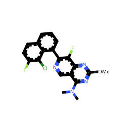 COc1nc(N(C)C)c2cnc(-c3cccc4ccc(F)c(Cl)c34)c(F)c2n1